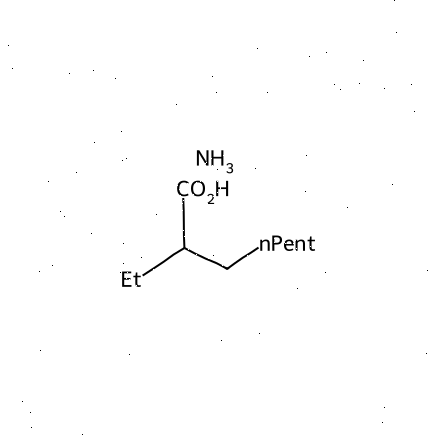 CCCCCCC(CC)C(=O)O.N